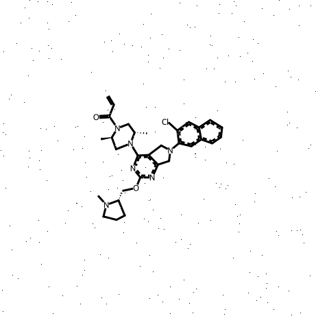 C=CC(=O)N1C[C@H](C)N(c2nc(OC[C@@H]3CCCN3C)nc3c2CN(c2cc4ccccc4cc2Cl)C3)C[C@H]1C